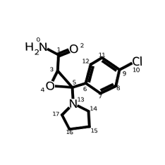 NC(=O)C1OC1(c1ccc(Cl)cc1)N1CCCC1